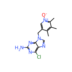 Cc1c(Cn2cnc3c(Cl)nc(N)nc32)c[n+]([O-])c(C)c1C